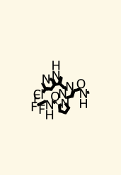 CNC(=O)c1cc(N2CCC[C@@H]2C(=O)NCC(F)(F)F)nc(-c2c[nH]c3ncc(Cl)cc23)n1